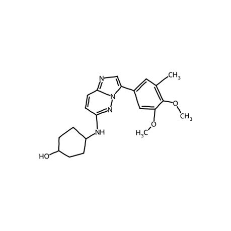 COc1cc(-c2cnc3ccc(NC4CCC(O)CC4)nn23)cc(C)c1OC